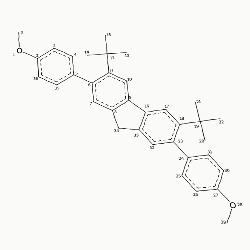 COc1ccc(-c2cc3c(cc2C(C)(C)C)-c2cc(C(C)(C)C)c(-c4ccc(OC)cc4)cc2C3)cc1